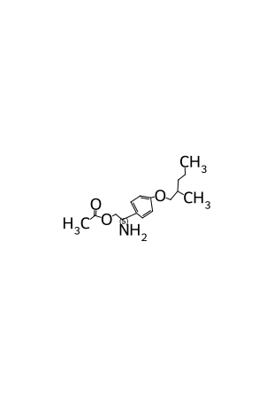 CCCC(C)COc1ccc([C@H](N)COC(C)=O)cc1